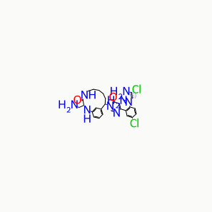 NCC1Nc2cccc(c2)C(n2cnc(-c3cc(Cl)ccc3N(N)/C=C(\N)Cl)cc2=O)CCCCCNC1=O